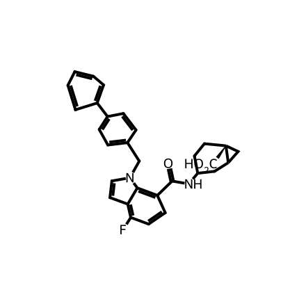 O=C(NC1CC[C@]2(C(=O)O)CC2C1)c1ccc(F)c2ccn(Cc3ccc(-c4ccccc4)cc3)c12